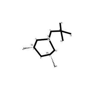 C[C@@H]1C[C@H](C)CN(CC(C)(C)C)C1